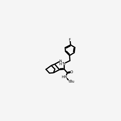 CC(C)(C)NC(=O)C1=C2C3CCC(C3)C2NN1Cc1ccc(F)cc1